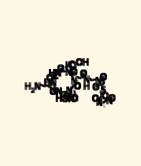 C[C@@H](O)C1NC(=O)[C@H](CCCCN)NC(=O)CNC(=O)[C@H](Cc2ccc(O)cc2)NC(=O)[C@H](CCC(=O)NCCCN2C(=O)CC(SCCC(=O)N(C)[C@@H](C)C(=O)N=O)C2=O)N(C)C(=O)[C@H](Cc2ccccc2)NC1=O